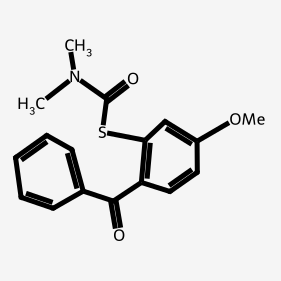 COc1ccc(C(=O)c2ccccc2)c(SC(=O)N(C)C)c1